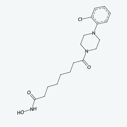 O=C(CCCCCCC(=O)N1CCN(c2ccccc2Cl)CC1)NO